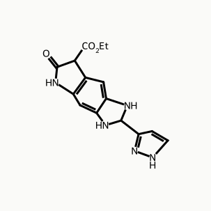 CCOC(=O)C1C(=O)Nc2cc3c(cc21)NC(c1cc[nH]n1)N3